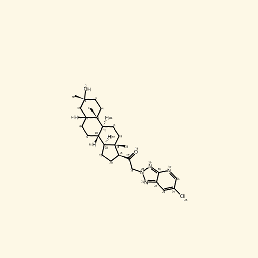 C[C@@]1(O)CC[C@@]2(C)[C@H](CC[C@@H]3[C@@H]2CC[C@]2(C)[C@@H](C(=O)Cn4nc5cc(Cl)cnc5n4)CC[C@@H]32)C1